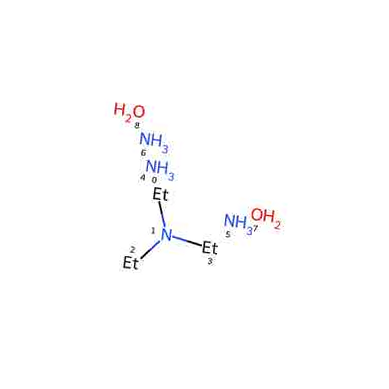 CCN(CC)CC.N.N.N.O.O